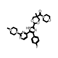 CN1CCN(c2nccc(-c3[nH]c(C4OCC(C)(C(=O)N5CCOCC5)CO4)nc3-c3ccc(F)cc3)n2)CC1